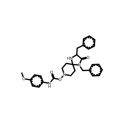 COc1ccc(NC(=O)ON2CCC3(CC2)NC(Cc2ccccc2)C(=O)N3Cc2ccccc2)cc1